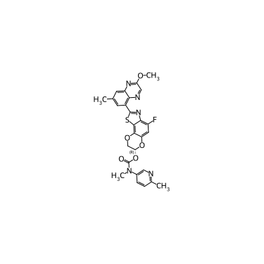 COc1cnc2c(-c3nc4c(F)cc5c(c4s3)OC[C@@H](OC(=O)N(C)c3ccc(C)nc3)O5)cc(C)cc2n1